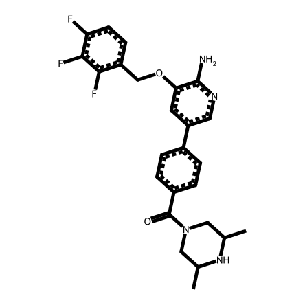 CC1CN(C(=O)c2ccc(-c3cnc(N)c(OCc4ccc(F)c(F)c4F)c3)cc2)CC(C)N1